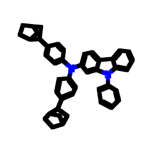 c1ccc(-n2c3ccccc3c3ccc(N(c4ccc(C5CC6CCC5C6)cc4)c4ccc(C5CC6CCC5C6)cc4)cc32)cc1